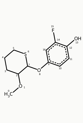 COC1CCCSC1Oc1ccc(O)c(F)c1